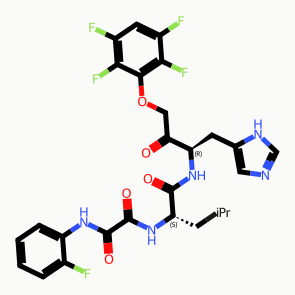 CC(C)C[C@H](NC(=O)C(=O)Nc1ccccc1F)C(=O)N[C@H](Cc1cnc[nH]1)C(=O)COc1c(F)c(F)cc(F)c1F